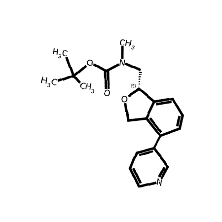 CN(C[C@H]1OCc2c(-c3cccnc3)cccc21)C(=O)OC(C)(C)C